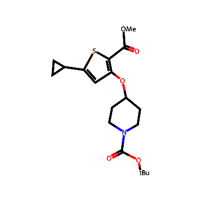 COC(=O)c1sc(C2CC2)cc1OC1CCN(C(=O)OC(C)(C)C)CC1